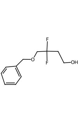 OCCC(F)(F)COCc1ccccc1